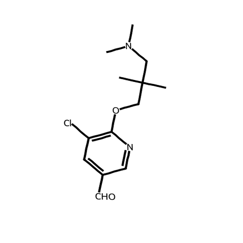 CN(C)CC(C)(C)COc1ncc(C=O)cc1Cl